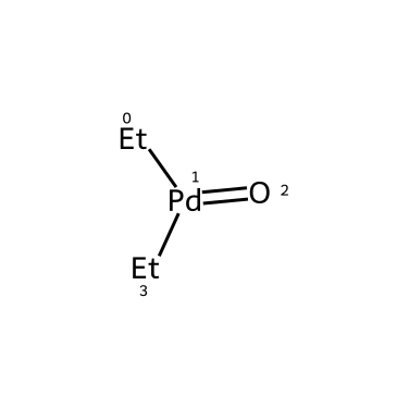 C[CH2][Pd](=[O])[CH2]C